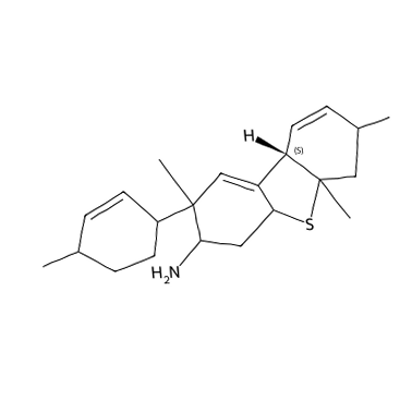 CC1C=CC(C2(C)C=C3C(CC2N)SC2(C)CC(C)C=C[C@@H]32)CC1